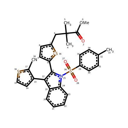 COC(=O)C(C)(C)Cc1ccc(-c2c(-c3ccsc3C#N)c3ccccc3n2S(=O)(=O)c2ccc(C)cc2)s1